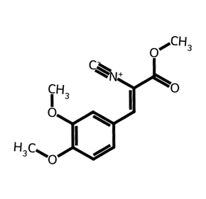 [C-]#[N+]/C(=C\c1ccc(OC)c(OC)c1)C(=O)OC